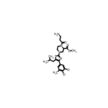 COC(=O)C1CN(c2nc(-c3cc(C)c(Cl)c(Cl)c3)c(CC(C)C)s2)CCN1C(=O)CCN